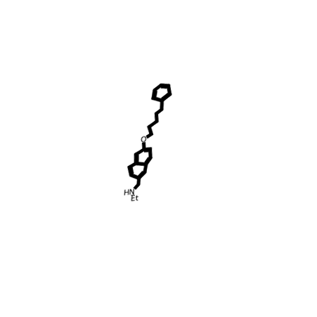 CCNCc1ccc2cc(OCCCCCc3ccccc3)ccc2c1